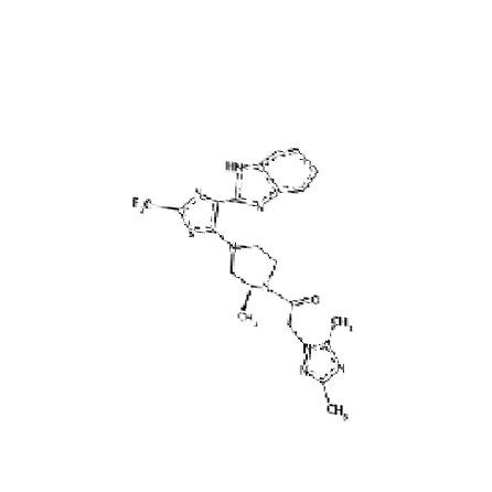 Cc1nc(C)n(CC(=O)N2CCN(c3sc(C(F)(F)F)nc3-c3nc4ccccc4[nH]3)C[C@@H]2C)n1